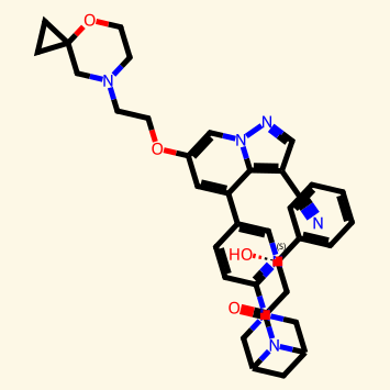 N#Cc1cnn2cc(OCCN3CCOC4(CC4)C3)cc(-c3ccc(N4CC5CC(C4)N5C(=O)C[C@H](O)c4ccccc4)nc3)c12